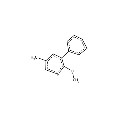 COc1ncc(C)cc1-c1ccccc1